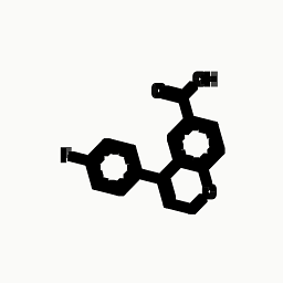 O=C(O)c1ccc2c(c1)C(c1ccc(F)cc1)=CCO2